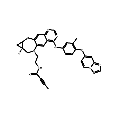 CC#CC(=O)NCCN1C[C@@H]2CC2Oc2cc3ncnc(Nc4ccc(Oc5ccn6ncnc6c5)c(C)c4)c3cc21